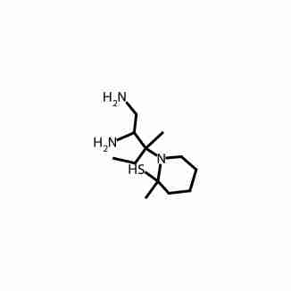 CCC(C)(C(N)CN)N1CCCCC1(C)S